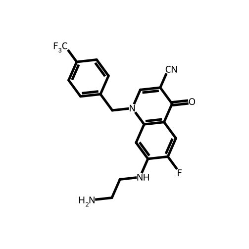 N#Cc1cn(Cc2ccc(C(F)(F)F)cc2)c2cc(NCCN)c(F)cc2c1=O